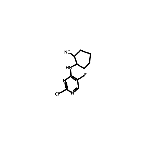 N#CC1CCCCC1Nc1nc(Cl)ncc1F